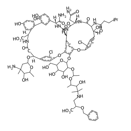 CC(C)CCC(=O)NC1C(=O)N[C@@H](CC(N)=O)C(=O)N[C@H]2C(=O)N[C@@H](C(N)=O)c3ccc(O)c(c3)-c3c(O)cc(O)cc3[C@H](C(=O)O)NC(=O)C[C@H](OC3CC(C)(N)C(O)C(C)O3)c3ccc(c(Cl)c3)Oc3cc2cc(c3OC2OC(CO)C(O)C(O)C2OC(C)OC(C)C(O)C(C)(C)NCC(OCc2ccccc2)C(=O)O)Oc2ccc(cc2Cl)[C@H]1O